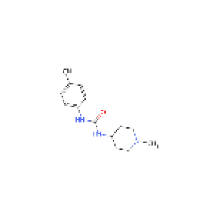 CN1CCC(NC(=O)Nc2ccc(C#N)cc2)CC1